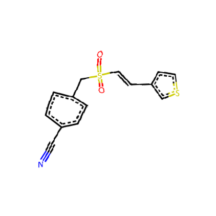 N#Cc1ccc(CS(=O)(=O)C=Cc2ccsc2)cc1